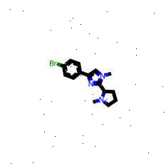 CN1CCCC1c1nc(-c2ccc(Br)cc2)cn1C